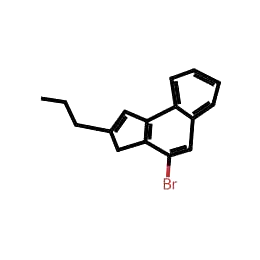 CCCC1=Cc2c(c(Br)cc3ccccc23)C1